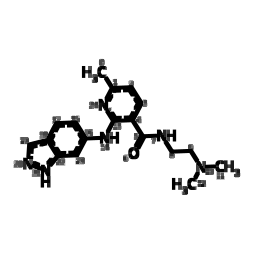 Cc1ccc(C(=O)NCCN(C)C)c(Nc2ccc3cn[nH]c3c2)n1